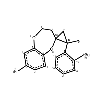 CC(C)c1ccc2c(c1)OCCC1(CC1(C)c1ccccc1C(C)(C)C)O2